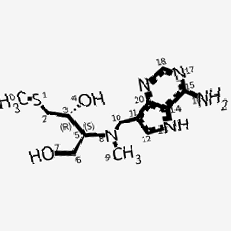 CSC[C@H](O)[C@H](CO)N(C)Cc1c[nH]c2c(N)ncnc12